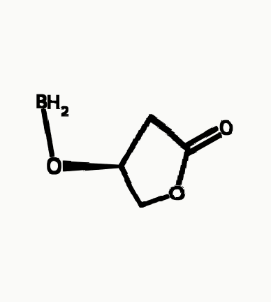 BO[C@@H]1COC(=O)C1